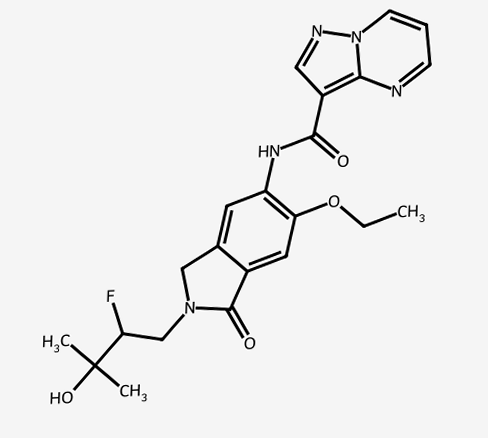 CCOc1cc2c(cc1NC(=O)c1cnn3cccnc13)CN(CC(F)C(C)(C)O)C2=O